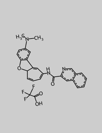 CN(C)c1ccc2c(c1)C1=CC(NC(=O)c3cc4ccccc4cn3)=CC=CC1O2.O=C(O)C(F)(F)F